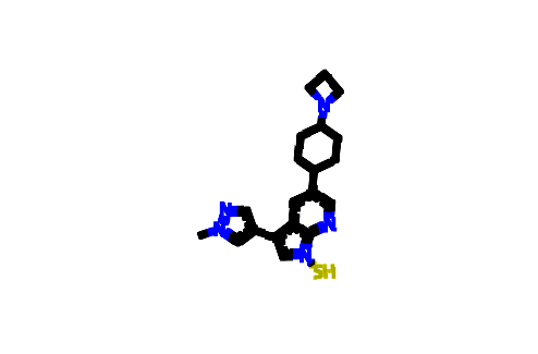 Cn1cc(-c2cn(S)c3ncc(C4CCC(N5CCC5)CC4)cc23)cn1